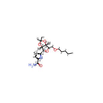 CCCCCOC[C@H]1O[C@@H](c2nc(C(N)=O)c[se]2)[C@@H]2OC(C)(C)O[C@@H]21